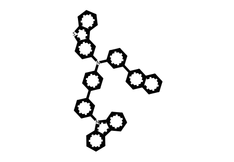 c1cc(-c2ccc3ccccc3c2)cc(N(c2ccc(-c3cccc(-n4c5ccccc5c5ccccc54)c3)cc2)c2ccc3sc4ccccc4c3c2)c1